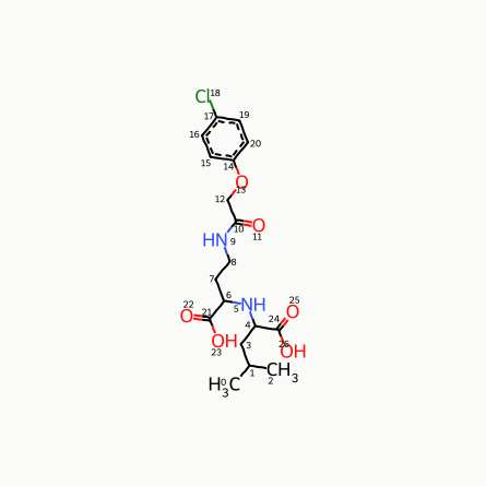 CC(C)CC(NC(CCNC(=O)COc1ccc(Cl)cc1)C(=O)O)C(=O)O